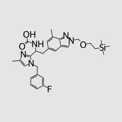 Cc1cn(Cc2cccc(F)c2)c(C(Cc2cc(C)c3nn(COCC[Si](C)(C)C)cc3c2)NC(=O)O)n1